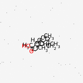 C=C(C)[C@@H]1CC[C@]2(C)CC[C@]3(C)C(CCC4[C@@]5(C)CCC(=O)[C@@](C)(CO)C5CC[C@]43C)C12